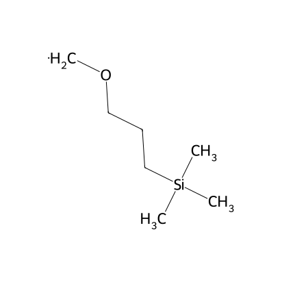 [CH2]OCCC[Si](C)(C)C